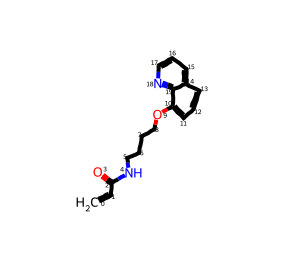 C=CC(=O)NCCCCOc1cccc2cccnc12